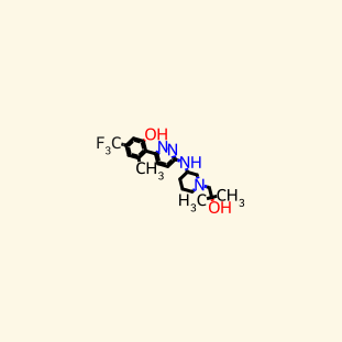 Cc1cc(C(F)(F)F)cc(O)c1-c1ccc(NC2CCCN(CC(C)(C)O)C2)nn1